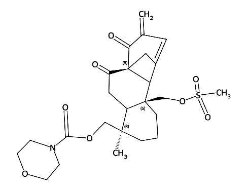 C=C1C=C2C[C@@]3(C(=O)CC4[C@](C)(COC(=O)N5CCOCC5)CCC[C@@]4(COS(C)(=O)=O)C23)C1=O